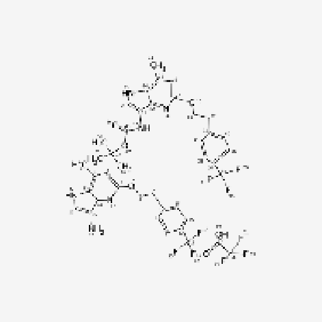 Cc1cc(OCCc2ccc(C(F)(F)F)cc2)nc2c(N)c[nH]c12.Cc1cc(OCCc2ccc(C(F)(F)F)cc2)nc2c(NC(=O)OC(C)(C)C)c[nH]c12.O=C(O)C(F)(F)F